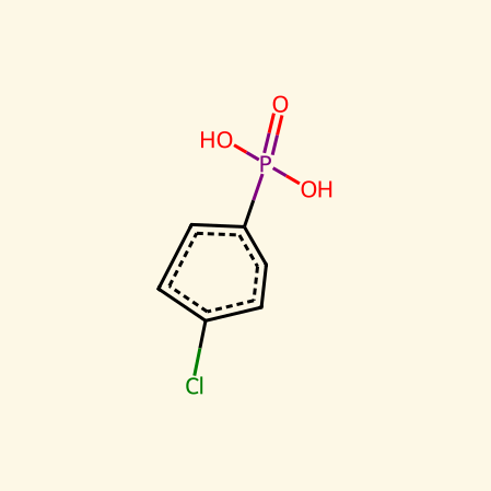 O=P(O)(O)c1ccc(Cl)cc1